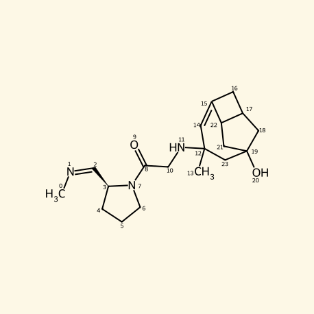 C/N=C\[C@@H]1CCCN1C(=O)CNC1(C)C=C2CC3CC(O)(CC23)C1